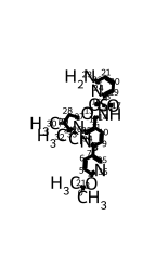 CC(C)Oc1ccc(-c2ccc(C(=O)NS(=O)(=O)c3cccc(N)n3)c(N3CC[C@H](C)C3(C)C)n2)cn1